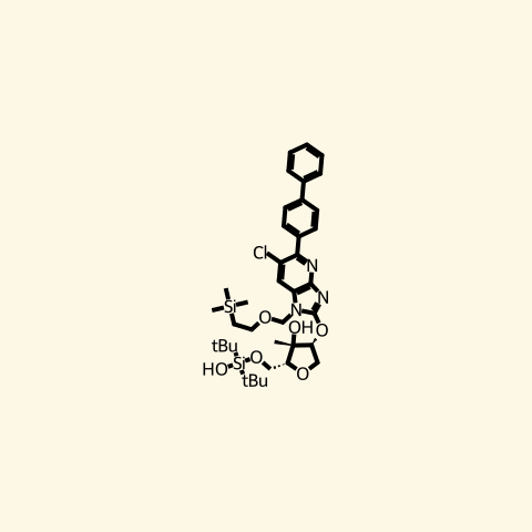 CC(C)(C)[Si](O)(OC[C@H]1OC[C@@H](Oc2nc3nc(-c4ccc(-c5ccccc5)cc4)c(Cl)cc3n2COCC[Si](C)(C)C)[C@@]1(C)O)C(C)(C)C